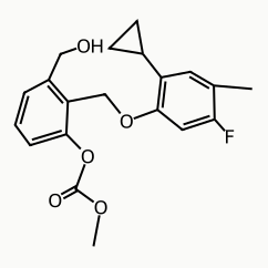 COC(=O)Oc1cccc(CO)c1COc1cc(F)c(C)cc1C1CC1